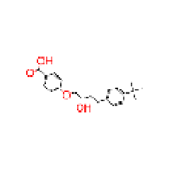 CC(C)(C)c1ccc(CC[C@H](O)COc2ccc(C(=O)O)cc2)cc1